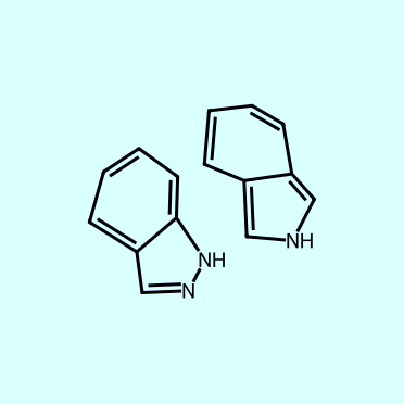 c1ccc2[nH]ncc2c1.c1ccc2c[nH]cc2c1